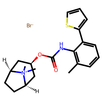 Cc1cccc(-c2cccs2)c1NC(=O)O[C@H]1C[C@H]2CC[C@@H](C1)[N+]2(C)C.[Br-]